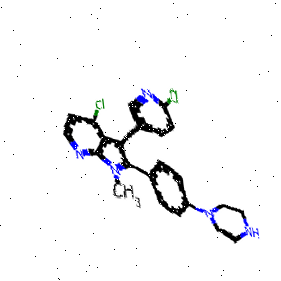 Cn1c(-c2ccc(N3CCNCC3)cc2)c(-c2ccc(Cl)nc2)c2c(Cl)ccnc21